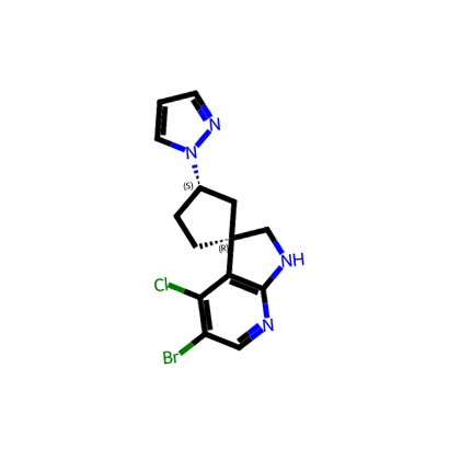 Clc1c(Br)cnc2c1[C@]1(CC[C@H](n3cccn3)C1)CN2